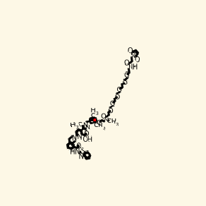 Cc1c(-c2ccc(N3CCc4cccc(C(=O)Nc5nc6ccccc6s5)c4C3)nc2C(=O)O)cnn1CC12CC3(C)CC(C)(C1)C(OCCN(C)C(=O)CCOCCOCCOCCOCCOCCOCCNC(=O)CCN1C(=O)C=CC1=O)(C3)C2